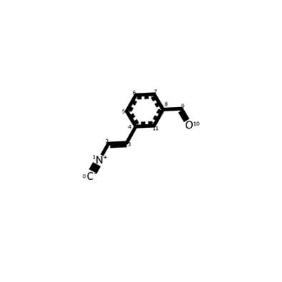 [C-]#[N+]/C=C/c1cccc(C=O)c1